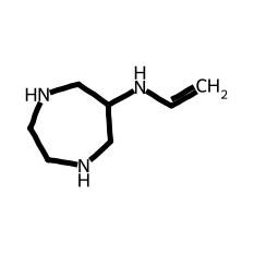 C=CNC1CNCCNC1